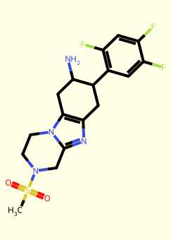 CS(=O)(=O)N1CCn2c(nc3c2CC(N)C(c2cc(F)c(F)cc2F)C3)C1